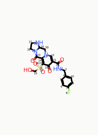 O=C(NCc1ccc(F)cc1)c1cn2c(c(S(=O)(=O)CO)c1=O)C(=O)N1CCNC1C2